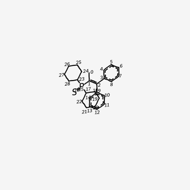 CC(=C(c1ccccc1)c1ccccc1)P(=S)(C1CCCCC1)C1CCCCC1